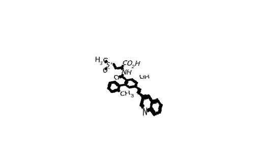 Cc1ccccc1-c1cc(C=Cc2cnc3ccccc3c2)ccc1C(=O)NC(CC[S+](C)[O-])C(=O)O.[LiH]